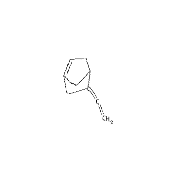 C=C=C1CC2=CCC1C2